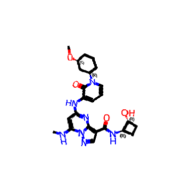 CNc1cc(Nc2cccn([C@@H]3CCC[C@H](OC)C3)c2=O)nc2c(C(=O)N[C@@H]3CC[C@H]3O)cnn12